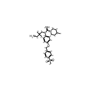 CC1CCN(C(=N)N(CC(C)(C)CN)c2ccc(OCc3ccc(S(C)(=O)=O)cc3)cc2)CC1